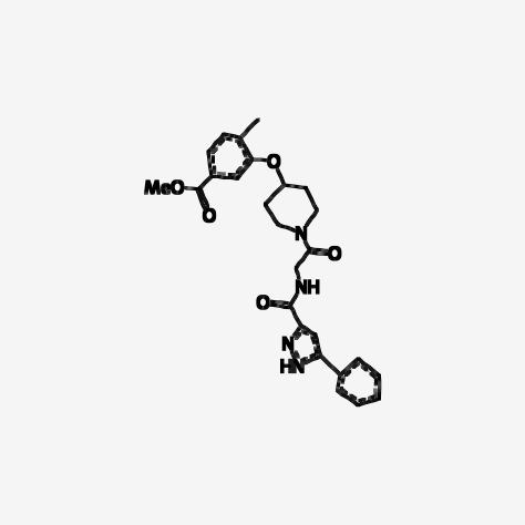 COC(=O)c1ccc(C)c(OC2CCN(C(=O)CNC(=O)c3cc(-c4ccccc4)[nH]n3)CC2)c1